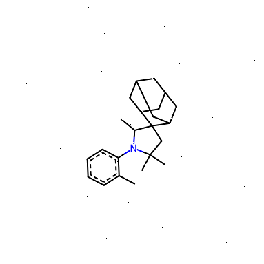 Cc1ccccc1N1C(C)C2(CC1(C)C)C1CC3CC(C1)CC2C3